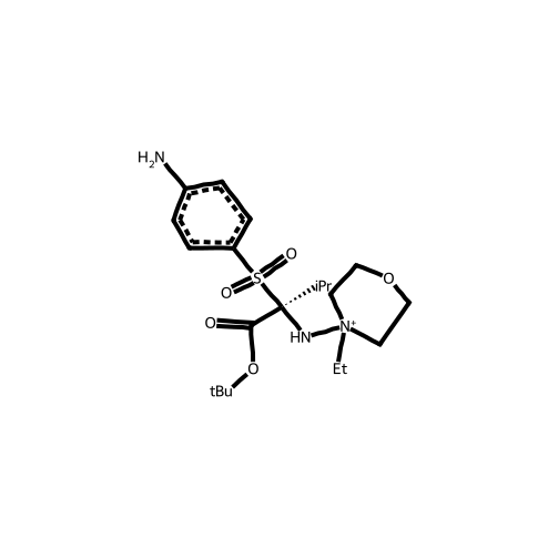 CC[N+]1(N[C@](C(=O)OC(C)(C)C)(C(C)C)S(=O)(=O)c2ccc(N)cc2)CCOCC1